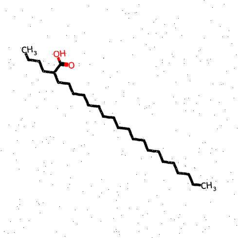 CCCCCCCCCCCCCCCCCCCCC(CCCC)C(=O)O